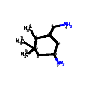 CC1C(CN)CC(N)CC1(C)C